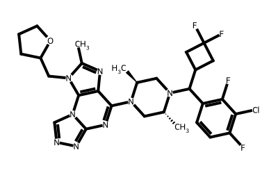 Cc1nc2c(N3C[C@@H](C)N(C(c4ccc(F)c(Cl)c4F)C4CC(F)(F)C4)C[C@@H]3C)nc3nncn3c2n1CC1CCCO1